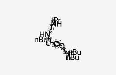 CCCC/C(=C\C(=O)c1ccc(OCCCN(CCCC)CCCC)cc1)NCCCCNC(C)C